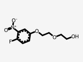 O=[N+]([O-])c1cc(OCCOCCO)ccc1F